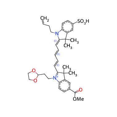 C=CCCN1/C(=C/C=C/C=C/C2=[N+](CCC3OCCO3)c3ccc(C(=O)OC)cc3C2(C)C)C(C)(C)c2cc(S(=O)(=O)O)ccc21